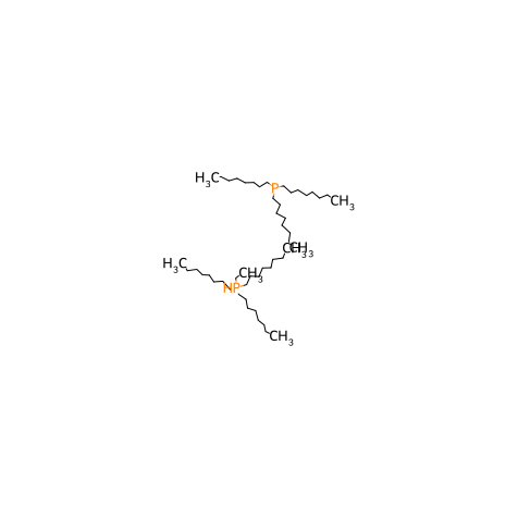 CCCCCCCCP(CCCCCCCC)CCCCCCCC.CCCCCCCC[PH](CC)(CCCCCCCC)CCCCCCCC